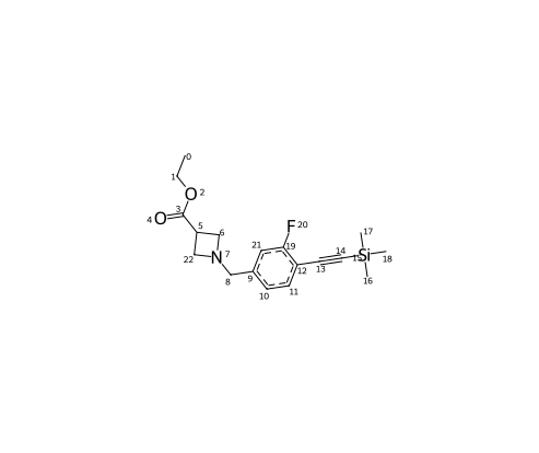 CCOC(=O)C1CN(Cc2ccc(C#C[Si](C)(C)C)c(F)c2)C1